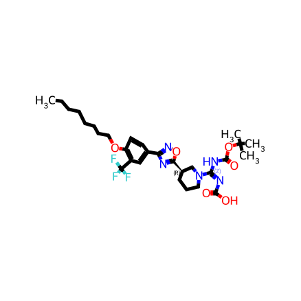 CCCCCCCCOc1ccc(-c2noc([C@@H]3CCCN(/C(=N\C(=O)O)NC(=O)OC(C)(C)C)C3)n2)cc1C(F)(F)F